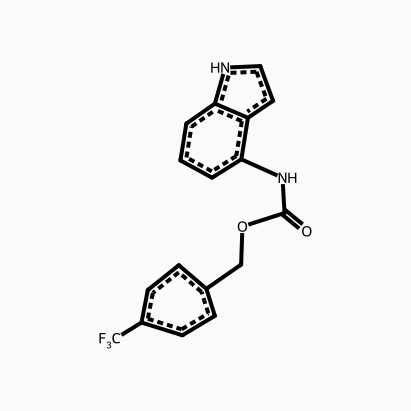 O=C(Nc1cccc2[nH]ccc12)OCc1ccc(C(F)(F)F)cc1